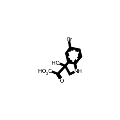 O=C(O)C(=O)C1(O)CNc2ccc(Br)cc21